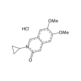 COc1cc2cc(=O)n(C3CC3)cc2cc1OC.Cl